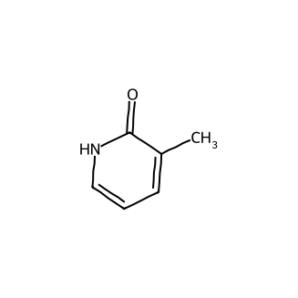 Cc1ccc[nH]c1=O